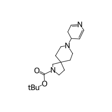 CC(C)(C)OC(=O)N1CCC2(CCN(C3C=CN=CC3)CC2)C1